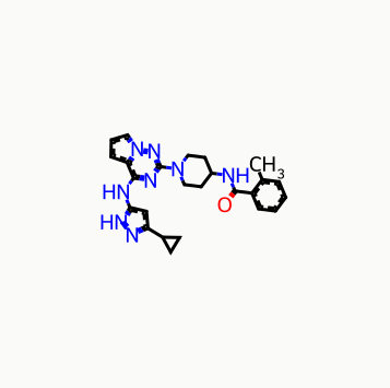 Cc1ccccc1C(=O)NC1CCN(c2nc(Nc3cc(C4CC4)n[nH]3)c3cccn3n2)CC1